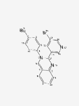 CCC(C)c1ccc(N2C=c3ccccc3=NC2c2cncc(Br)c2)cc1